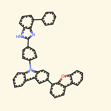 c1ccc(-c2cccc3[nH]c(-c4ccc(-n5c6ccccc6c6cc(-c7cccc8c7oc7ccccc78)ccc65)cc4)nc23)cc1